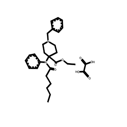 CCCCCC(=O)N(c1ccccc1)C1(C(=O)OCC)CCN(Cc2ccccc2)CC1.O=C(O)C(=O)O